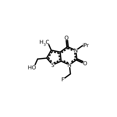 Cc1c(CO)sc2c1c(=O)n(C(C)C)c(=O)n2CF